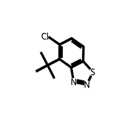 CC(C)(C)c1c(Cl)ccc2snnc12